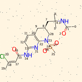 CC(=O)NC(C)(C)C[C@@H]1Cc2ccc(NC(=O)/C=C(/C)Cl)nc2N(S(C)(=O)=O)C1